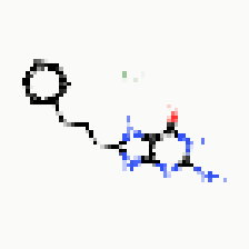 Cl.Nc1nc2nc(CCCc3ccccc3)[nH]c2c(=O)[nH]1